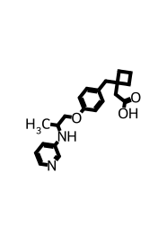 CC(COc1ccc(CC2(CC(=O)O)CCC2)cc1)Nc1cccnc1